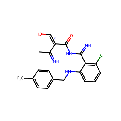 CC(=N)/C(=C\O)C(=O)NC(=N)c1c(Cl)cccc1NCc1ccc(C(F)(F)F)cc1